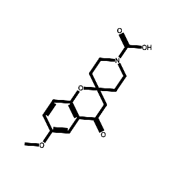 COc1ccc2c(c1)C(=O)CC1(CCN(C(=O)O)CC1)O2